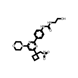 O=C(NCCO)Nc1ccc(-c2nc(N3CCOCC3)cc(C3(C[SH](=O)=O)CCC3)n2)cc1